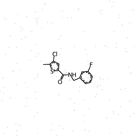 Cc1sc(C(=O)NCc2cccc(F)c2)cc1Cl